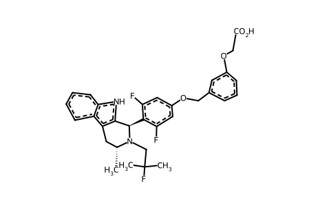 C[C@@H]1Cc2c([nH]c3ccccc23)[C@@H](c2c(F)cc(OCc3cccc(OCC(=O)O)c3)cc2F)N1CC(C)(C)F